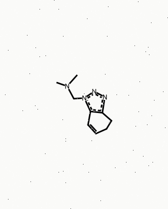 CN(C)Cn1nnc2c1C=CCC2